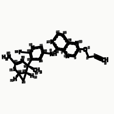 C#CCOc1cnc2c(Nc3cnc(F)c([C@@]4(C)N=C(N)S[C@H]5C[C@H]54)c3)nccc2n1